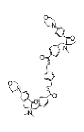 CCC(Cc1ccc(C(=O)SCc2ccc(CSC(=O)c3ccc(CC(CC)(C(=O)c4ccc(N5CCOCC5)cc4)N(C)C)cc3)cc2)cc1)(C(=O)c1ccc(N2CCOCC2)cc1)N(C)C